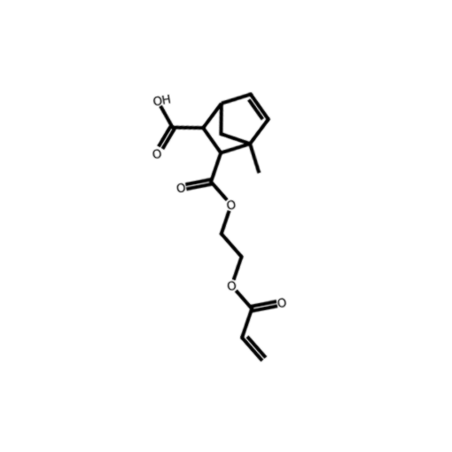 C=CC(=O)OCCOC(=O)C1C(C(=O)O)C2C=CC1(C)C2